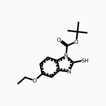 CCOc1ccc2c(c1)nc(S)n2C(=O)OC(C)(C)C